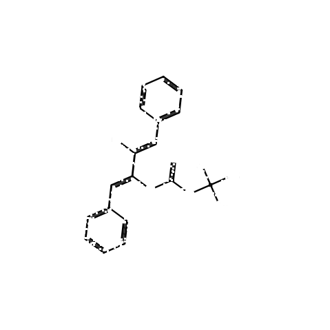 CC(C)(C)OC(=O)OC(=Cc1ccccc1)C(O)=Cc1ccccc1